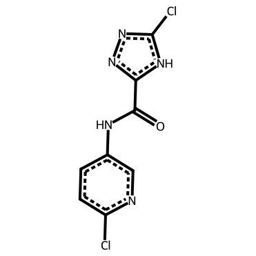 O=C(Nc1ccc(Cl)nc1)c1nnc(Cl)[nH]1